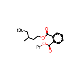 CC(CCOC(=O)c1ccccc1C(=O)OC(C)C)CC(C)(C)C